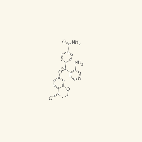 NC(=O)c1ccc([C@H](Oc2ccc3c(c2)OCCC3=O)c2ccncc2N)cc1